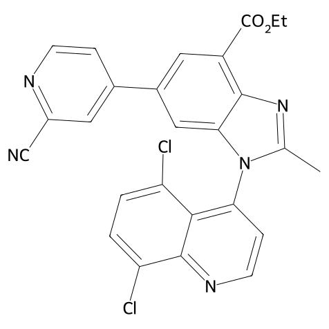 CCOC(=O)c1cc(-c2ccnc(C#N)c2)cc2c1nc(C)n2-c1ccnc2c(Cl)ccc(Cl)c12